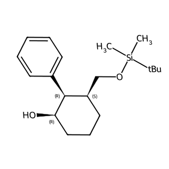 CC(C)(C)[Si](C)(C)OC[C@H]1CCC[C@@H](O)[C@H]1c1ccccc1